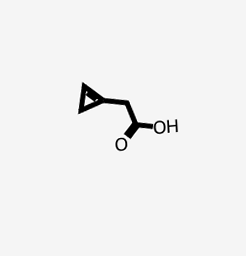 O=C(O)CC1=CC1